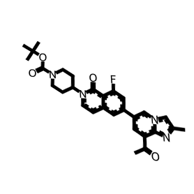 CC(=O)c1cc(-c2cc(F)c3c(=O)n(C4CCN(C(=O)OC(C)(C)C)CC4)ccc3c2)cn2cc(C)nc12